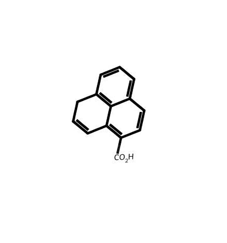 O=C(O)c1ccc2cccc3c2c1C=CC3